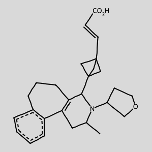 CC1CC2=C(CCCc3ccccc32)C(C23CC(/C=C/C(=O)O)(C2)C3)N1C1CCOC1